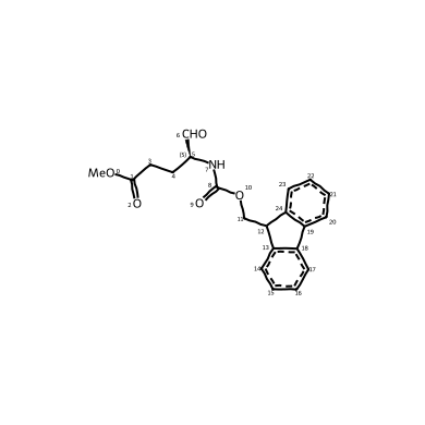 COC(=O)CC[C@@H](C=O)NC(=O)OCC1c2ccccc2-c2ccccc21